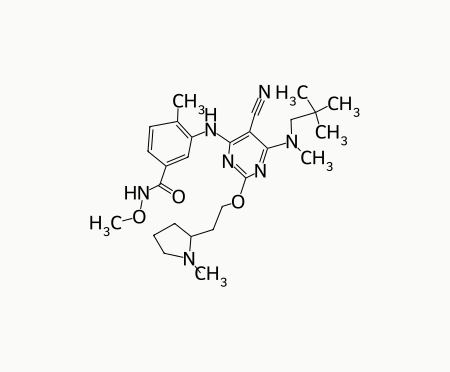 CONC(=O)c1ccc(C)c(Nc2nc(OCCC3CCCN3C)nc(N(C)CC(C)(C)C)c2C#N)c1